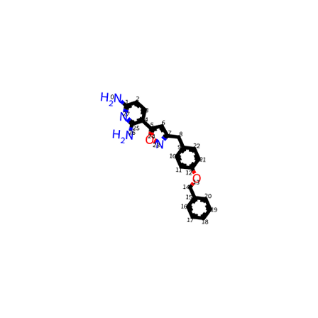 Nc1ccc(-c2cc(Cc3ccc(OCc4ccccc4)cc3)no2)c(N)n1